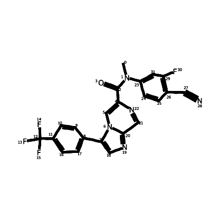 CN(C(=O)c1cn2c(-c3ccc(C(F)(F)F)cc3)cnc2cn1)c1ccc(C#N)c(F)c1